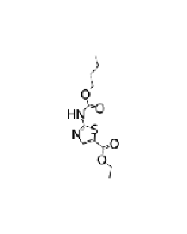 CCCCOC(=O)Nc1ncc(C(=O)OCC)s1